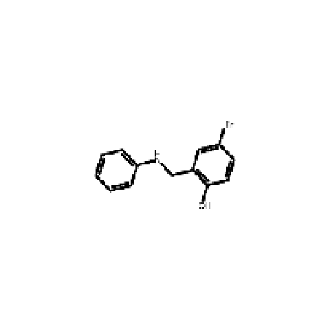 CC(C)c1ccc(O)c(CNc2ccccc2)c1